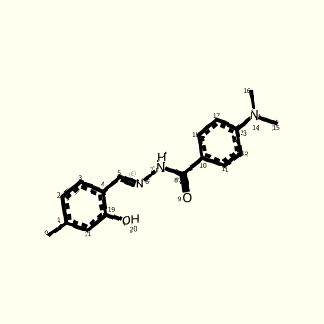 Cc1ccc(/C=N/NC(=O)c2ccc(N(C)C)cc2)c(O)c1